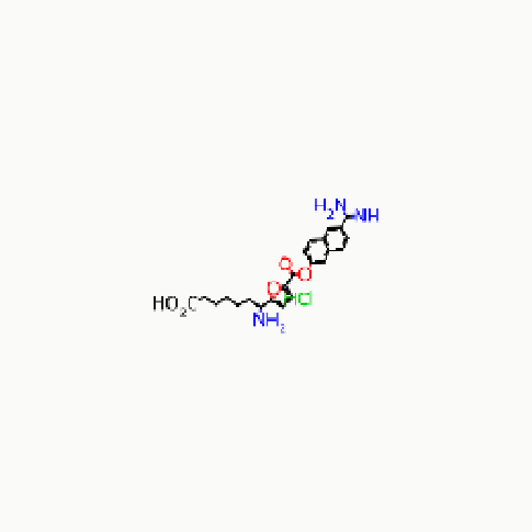 Cl.N=C(N)c1ccc2cc(OC(=O)c3ccc(C(N)CCCCCC(=O)O)o3)ccc2c1